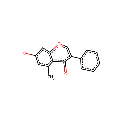 Cc1cc([O])cc2occ(-c3ccccc3)c(=O)c12